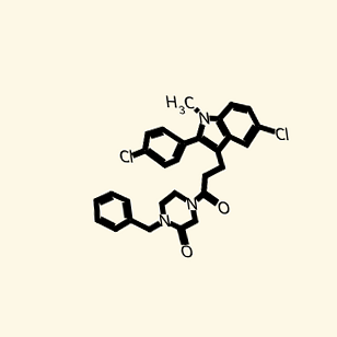 Cn1c(-c2ccc(Cl)cc2)c(CCC(=O)N2CCN(Cc3ccccc3)C(=O)C2)c2cc(Cl)ccc21